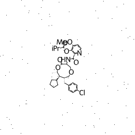 COc1ccnc(C(=O)N[C@H]2COC[C@H](Cc3ccc(Cl)cc3)[C@@H](C3CCCC3)[C@H](C)OC2=O)c1OC(=O)C(C)C